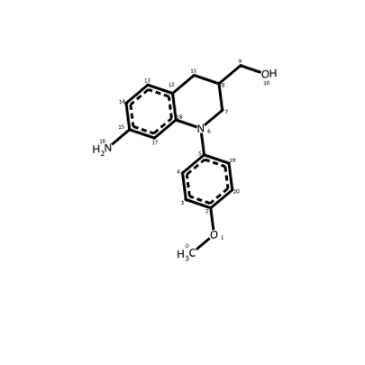 COc1ccc(N2CC(CO)Cc3ccc(N)cc32)cc1